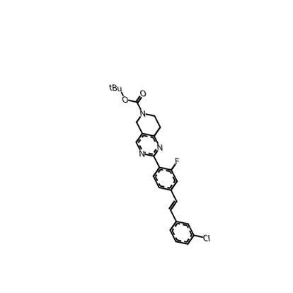 CC(C)(C)OC(=O)N1CCc2nc(-c3ccc(C=Cc4cccc(Cl)c4)cc3F)ncc2C1